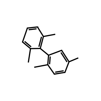 Cc1ccc(C)c(-c2c(C)[c]ccc2C)c1